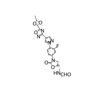 CC1OC(c2nc(-c3cnn(-c4ccc(N5C[C@H](CNC=O)OC5=O)cc4F)c3)no2)O1